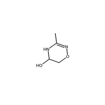 CC1=NOCC(O)N1